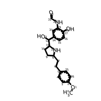 COc1ccc(CCC2CCC(C(O)c3ccc(O)c(NC=O)c3)N2)cc1